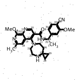 COc1cc([C@H](C)NC(=O)c2cnc3c(OC)nc(C)cc3c2N2CCNC3(CC2)CC3)ccc1C#N